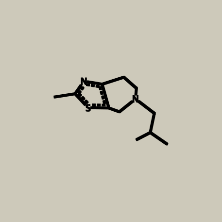 Cc1nc2c(s1)CN(CC(C)C)CC2